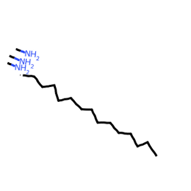 CN.CN.CN.[CH2]CCCCCCCCCCCCCC